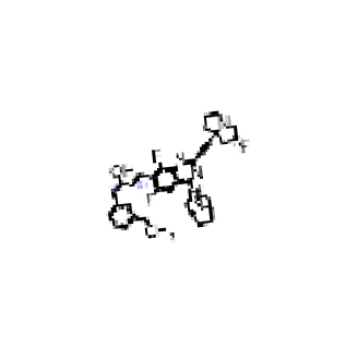 CCc1cccc(/C=C(O)\C=C\c2c(F)cc3c(N4CC5CCC(C4)N5)nc(C#C[C@@]45CCCN4C[C@H](F)C5)nc3c2F)c1